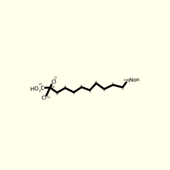 CCCCCCCCCCCCCCCCCCC(Cl)(Cl)C(=O)O